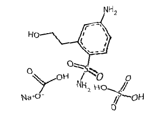 Nc1ccc(S(N)(=O)=O)c(CCO)c1.O=C([O-])O.O=S(=O)(O)O.[Na+]